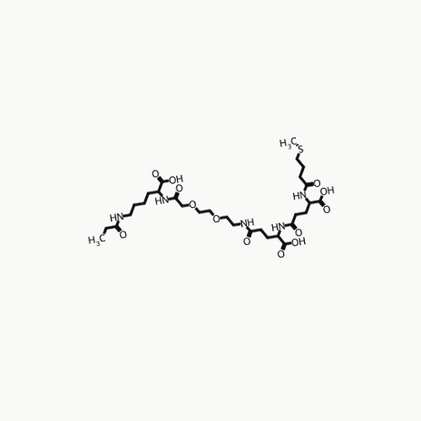 CCC(=O)NCCCCC(NC(=O)COCCOCCNC(=O)CCC(NC(=O)CCC(NC(=O)CCCSC)C(=O)O)C(=O)O)C(=O)O